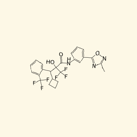 Cc1noc(-c2cccc(NC(=O)C(O)(C(c3ccccc3C(F)(F)F)C3CCC3)C(F)(F)F)c2)n1